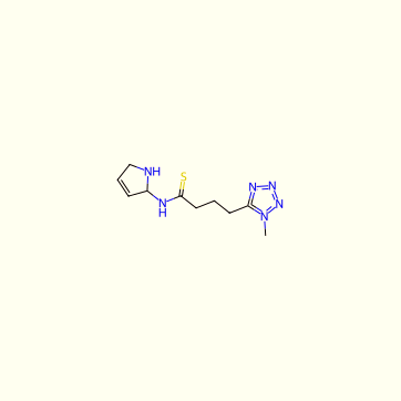 Cn1nnnc1CCCC(=S)NC1C=CCN1